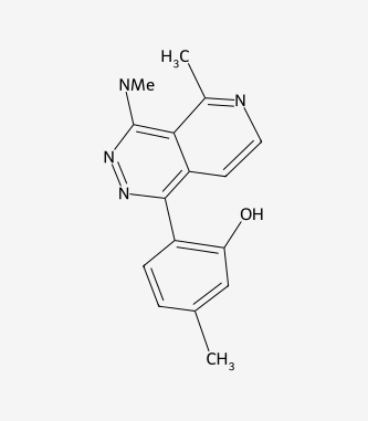 CNc1nnc(-c2ccc(C)cc2O)c2ccnc(C)c12